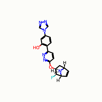 CN1[C@@H]2C=C[C@H]1C[C@H](Oc1ccc(-c3ccc(-n4cnnc4)cc3O)nn1)[C@@H]2F